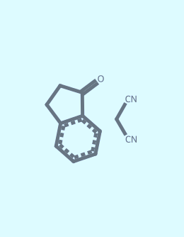 N#CCC#N.O=C1CCc2ccccc21